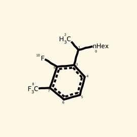 CCCCCCC(C)c1cccc(C(F)(F)F)c1F